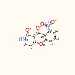 O=C1CCNC(=O)C1C(=O)c1ccccc1[N+](=O)[O-]